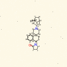 O=C1CCCN1[C@H]1CCC2(CCN(C3CC4CC[C@H](C4)C3)CC2)c2ccccc21